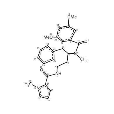 COc1cc(C(=O)N(C)C(CCNC(=O)c2cccn2C)Cc2ccccc2)cc(OC)n1